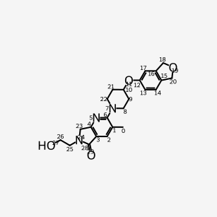 Cc1cc2c(nc1N1CCC(Oc3ccc4c(c3)COC4)CC1)CN(CCO)C2=O